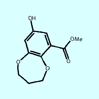 COC(=O)c1cc(O)cc2c1OCCCO2